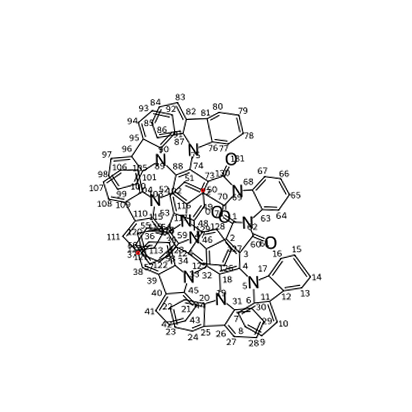 O=C1c2c(c(-n3c4ccccc4c4ccccc43)c(-n3c4ccccc4c4ccccc43)c(-n3c4ccccc4c4ccccc43)c2-n2c3ccccc3c3ccccc32)C(=O)N1c1ccccc1N1C(=O)c2c(c(-n3c4ccccc4c4ccccc43)c(-n3c4ccccc4c4ccccc43)c(-n3c4ccccc4c4ccccc43)c2-n2c3ccccc3c3ccccc32)C1=O